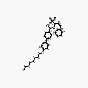 CCCCCCCCOc1ccc(-c2ccc(C(=O)O[C@H](/C=C\c3ccccc3)C(F)(F)F)cc2)cc1